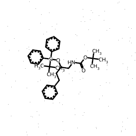 CC(C)(C)OC(=O)NCC([CH]Cc1ccccc1)O[Si](c1ccccc1)(c1ccccc1)C(C)(C)C